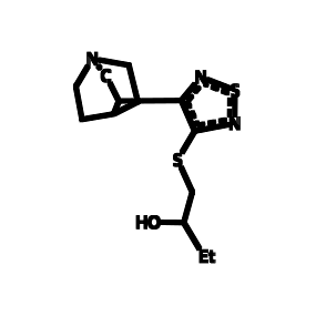 CCC(O)CSc1nsnc1C1CN2CCC1CC2